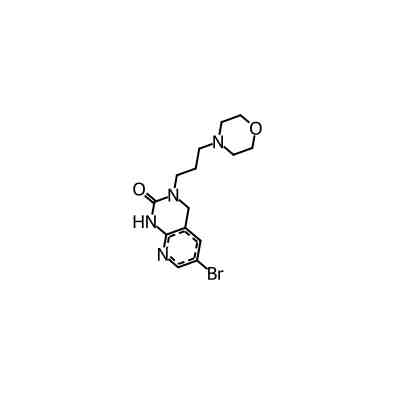 O=C1Nc2ncc(Br)cc2CN1CCCN1CCOCC1